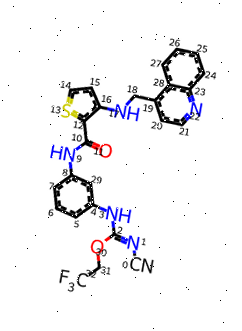 N#C/N=C(/Nc1cccc(NC(=O)c2sccc2NCc2ccnc3ccccc23)c1)OCC(F)(F)F